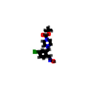 CC(C)(C)OC(=O)N1CCN(Cc2cc(Br)ccc2CN=O)CC1